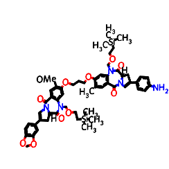 COc1cc2c(cc1OCCCOc1cc3c(cc1C)C(=O)N1C=C(c4ccc(N)cc4)C[C@H]1C(=O)N3COCC[Si](C)(C)C)N(COCC[Si](C)(C)C)C(=O)[C@@H]1CC(c3ccc4c(c3)OCO4)=CN1C2=O